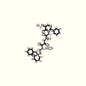 Cl.Nc1cnc(-c2ccccc2)n(CC(=O)NCC(=O)C(=O)CCC[N+]2(Cc3ccccc3)C=CC=CC2=O)c1=O